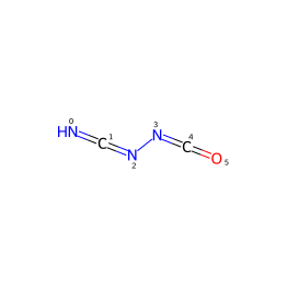 N=C=NN=C=O